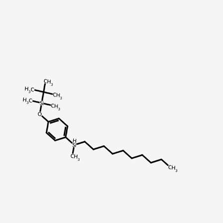 CCCCCCCCCC[SiH](C)c1ccc(O[Si](C)(C)C(C)(C)C)cc1